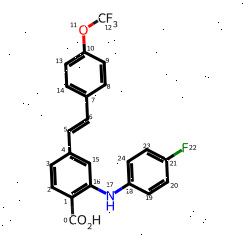 O=C(O)c1ccc(C=Cc2ccc(OC(F)(F)F)cc2)cc1Nc1ccc(F)cc1